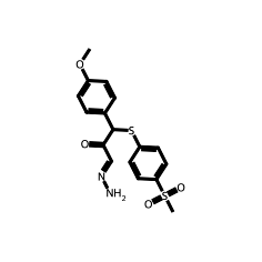 COc1ccc(C(Sc2ccc(S(C)(=O)=O)cc2)C(=O)C=NN)cc1